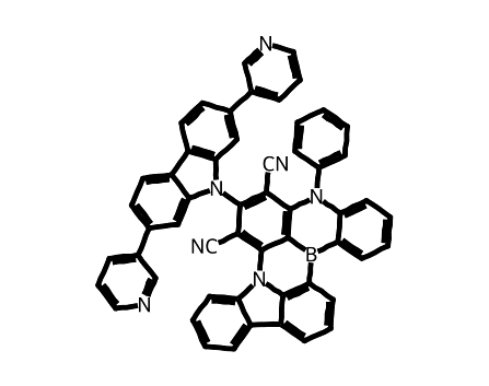 N#Cc1c2c3c(c(C#N)c1-n1c4cc(-c5cccnc5)ccc4c4ccc(-c5cccnc5)cc41)-n1c4ccccc4c4cccc(c41)B3c1ccccc1N2c1ccccc1